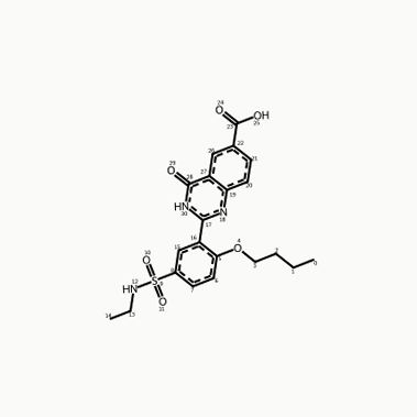 CCCCOc1ccc(S(=O)(=O)NCC)cc1-c1nc2ccc(C(=O)O)cc2c(=O)[nH]1